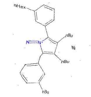 CCCCCCc1cccc(C2=C(CCCC)C(CCCC)=C(c3cccc(CCCC)c3)[N+]2=[N-])c1.[Ni]